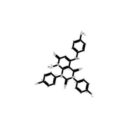 Cc1ccc(Nc2cc(=O)n(C)c3c2c(=O)n(-c2ccc(F)cc2)c(=O)n3-c2ccc(F)cc2)cc1